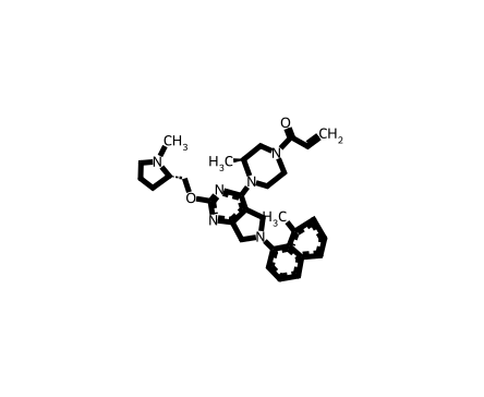 C=CC(=O)N1CCN(c2nc(OC[C@@H]3CCCN3C)nc3c2CN(c2cccc4cccc(C)c24)C3)[C@@H](C)C1